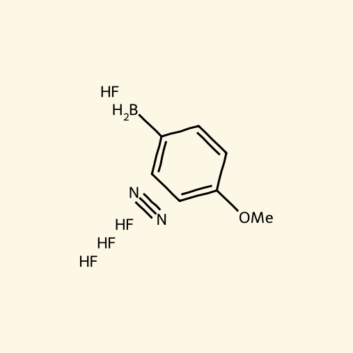 Bc1ccc(OC)cc1.F.F.F.F.N#N